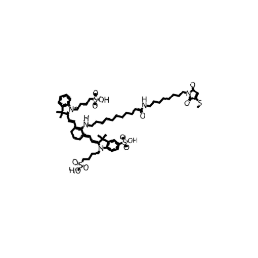 CSC1=CC(=O)N(CCCCCCCCNC(=O)CCCCCCCCCCNC2=C(/C=C/C3=[N+](CCCCS(=O)(=O)O)c4ccccc4C3(C)C)CCC/C2=C\C=C2\N(CCCCS(=O)(=O)O)c3ccc(S(=O)(=O)O)cc3C2(C)C)C1=O